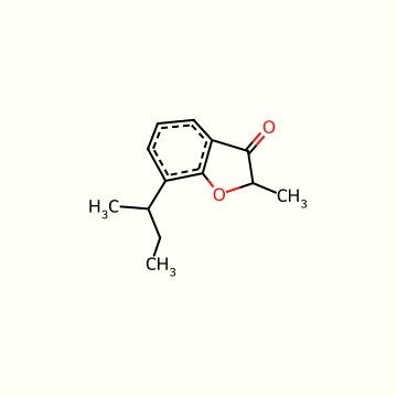 CCC(C)c1cccc2c1OC(C)C2=O